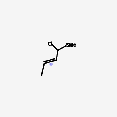 [CH2]SC(Cl)/C=C/C